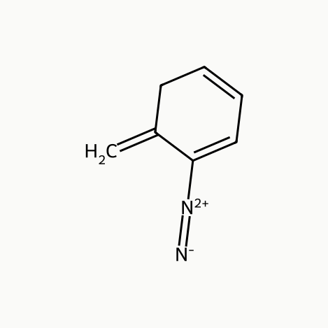 C=C1CC=CC=C1[N+2]=[N-]